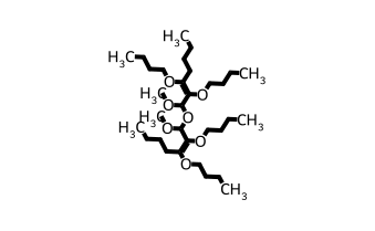 CCCCOC(CCCC)=C(OCCCC)C(OC)OC(OC)C(OCCCC)=C(CCCC)OCCCC